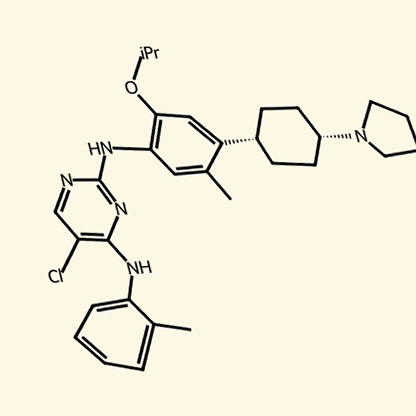 Cc1ccccc1Nc1nc(Nc2cc(C)c([C@H]3CC[C@@H](N4CCCC4)CC3)cc2OC(C)C)ncc1Cl